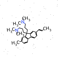 C/C=C/c1ccc2c(c1)C(CCCN(C)C)(CCCN(C)C)c1cc(C)ccc1-2